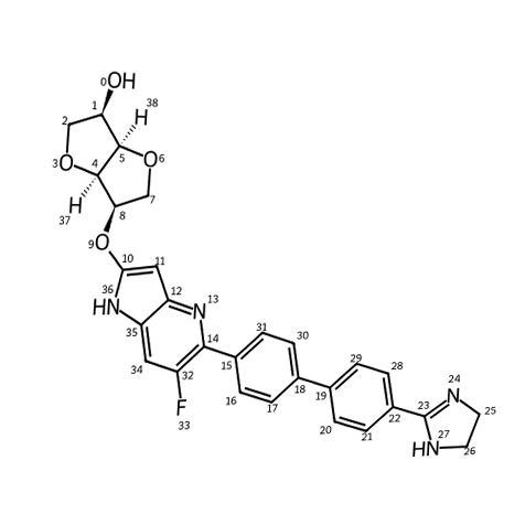 O[C@@H]1CO[C@H]2[C@@H]1OC[C@H]2Oc1cc2nc(-c3ccc(-c4ccc(C5=NCCN5)cc4)cc3)c(F)cc2[nH]1